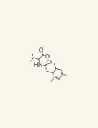 COC(=O)C(NC(=O)Cc1c(C)cc(C)cc1C)C(C)C